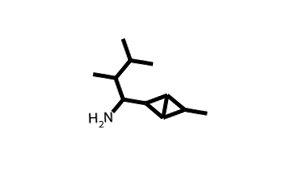 CC(C)C(C)C(N)C1C2C(C)C21